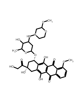 COc1cccc2c1C(=O)c1c(O)c3c(c(O)c1C2=O)C[C@@](O)(C(=O)CO)C[C@@H]3OC1CC(NN2CCOC(OC)C2)C(O)C(C)O1